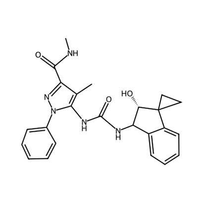 CNC(=O)c1nn(-c2ccccc2)c(NC(=O)NC2c3ccccc3C3(CC3)[C@H]2O)c1C